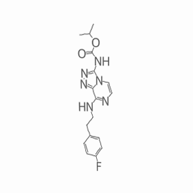 CC(C)OC(=O)Nc1nnc2c(NCCc3ccc(F)cc3)nccn12